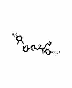 Cc1ccc(COc2cccc(-n3ccc(CC(C)c4nc5ccc(C(=O)O)nc5n4CC4CCO4)n3)n2)c(F)c1